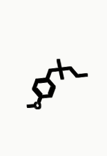 CCCC(C)(C)Cc1ccc(OC)cc1